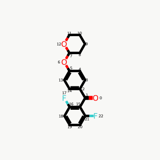 O=C(c1ccc(OC2CCCCO2)cc1)c1c(F)cccc1F